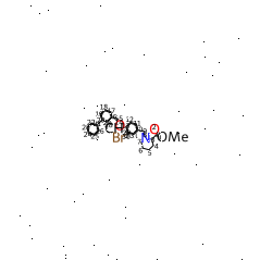 COC(=O)C1CCCCN1Cc1ccc(OCc2cccc(-c3ccccc3)c2C)c(Br)c1